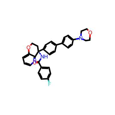 O=C(N[C@]1(c2ccc(-c3ccc(N4CCOCC4)cc3)cc2)CCOc2cccnc21)c1ccc(F)cc1